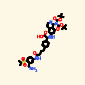 CC(C)S(=O)(=O)c1ccc(NC(=O)CCCc2ccc(C(Nc3ccc4c(N(C(=O)OC(C)(C)C)C(=O)OC(C)(C)C)nccc4c3)C(=O)O)cc2)cc1CN